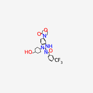 O=C(/N=c1\[nH]c2cc(N3CCOCC3=O)ccc2n1C1CCC(CO)CC1)c1cccc(C(F)(F)F)c1